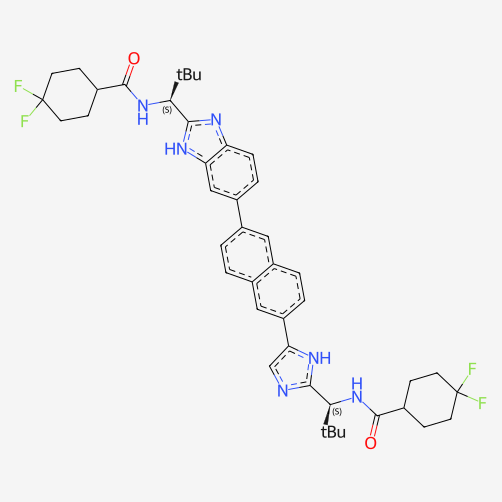 CC(C)(C)[C@H](NC(=O)C1CCC(F)(F)CC1)c1ncc(-c2ccc3cc(-c4ccc5nc([C@@H](NC(=O)C6CCC(F)(F)CC6)C(C)(C)C)[nH]c5c4)ccc3c2)[nH]1